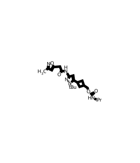 Cc1cc(CC(=O)Nc2cc(C3CC(COC(=O)NC(C)C)C3)n(C(C)(C)C)n2)on1